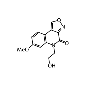 COc1ccc2c3conc3c(=O)n(CCO)c2c1